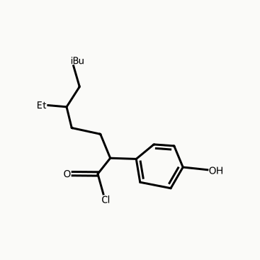 CCC(C)CC(CC)CCC(C(=O)Cl)c1ccc(O)cc1